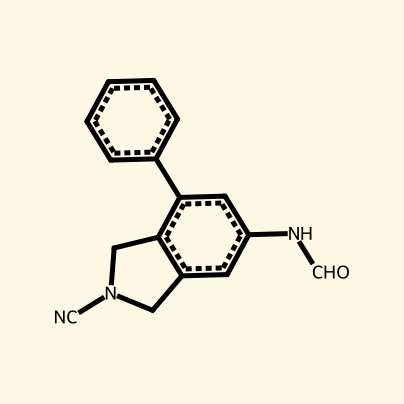 N#CN1Cc2cc(NC=O)cc(-c3ccccc3)c2C1